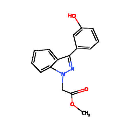 COC(=O)Cn1nc(-c2cccc(O)c2)c2ccccc21